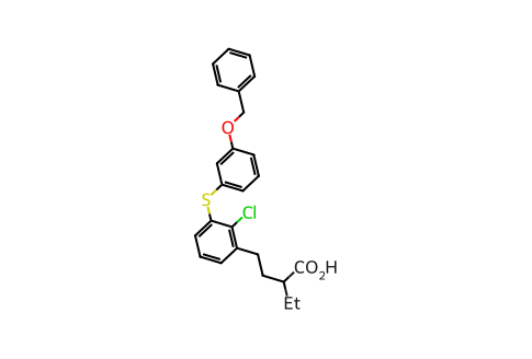 CCC(CCc1cccc(Sc2cccc(OCc3ccccc3)c2)c1Cl)C(=O)O